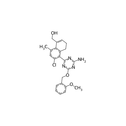 COc1ccccc1COc1nc(N)nc(-c2c(Cl)cc(C)c3c2CCC=C3CO)n1